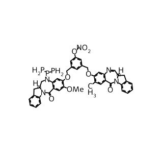 COc1cc2c(cc1OCc1cc(COc3cc4c(cc3C)C(=O)N3c5ccccc5C[C@H]3C=N4)cc(O[N+](=O)[O-])c1)N(P(P)P)C[C@@H]1Cc3ccccc3N1C2=O